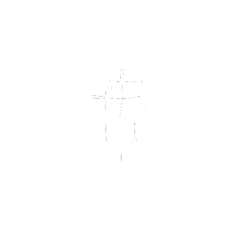 CC1CCC2C(CCC2(P(=O)(O)O)P(=O)(O)O)N1